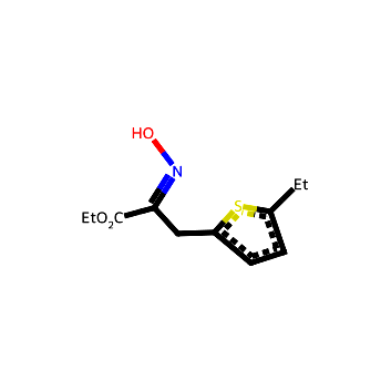 CCOC(=O)C(Cc1ccc(CC)s1)=NO